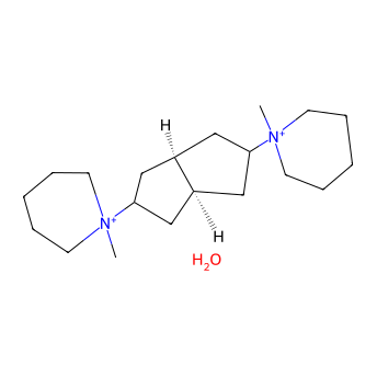 C[N+]1(C2C[C@H]3CC([N+]4(C)CCCCC4)C[C@H]3C2)CCCCC1.O